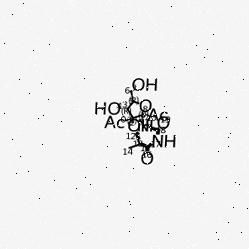 CC(=O)[C@@]1(O)[C@H](O)[C@@H](CO)O[C@@]1(C(C)=O)n1cc(C)c(=O)[nH]c1=O